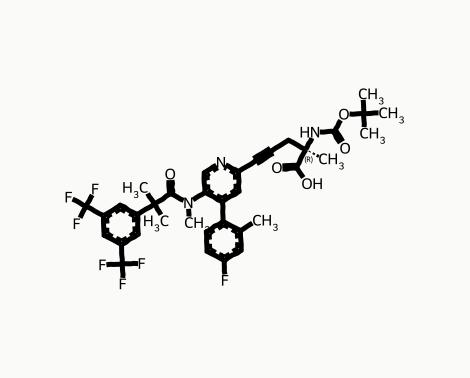 Cc1cc(F)ccc1-c1cc(C#CC[C@@](C)(NC(=O)OC(C)(C)C)C(=O)O)ncc1N(C)C(=O)C(C)(C)c1cc(C(F)(F)F)cc(C(F)(F)F)c1